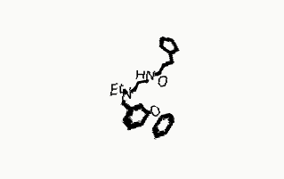 CCN(CCCNC(=O)CCC1CCCC1)Cc1cccc(Oc2ccccc2)c1